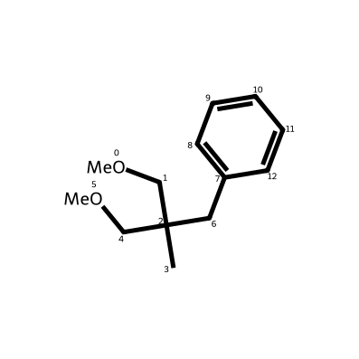 COCC(C)(COC)Cc1ccccc1